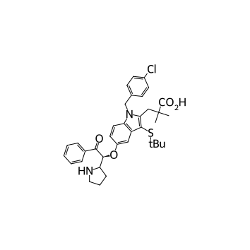 CC(C)(C)Sc1c(CC(C)(C)C(=O)O)n(Cc2ccc(Cl)cc2)c2ccc(O[C@H](C(=O)c3ccccc3)C3CCCN3)cc12